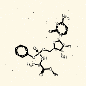 CC(C)OC(=O)[C@@H](C)NP(=O)(OC[C@H]1O[C@H](n2ccc(N)nc2=O)[C@@H](Cl)[C@@H]1O)Oc1ccccc1